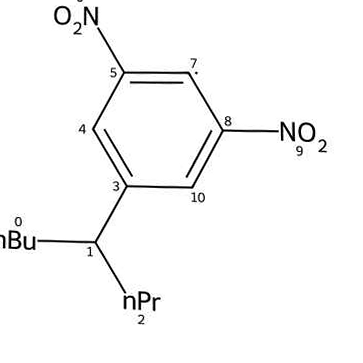 CCCCC(CCC)c1cc([N+](=O)[O-])[c]c([N+](=O)[O-])c1